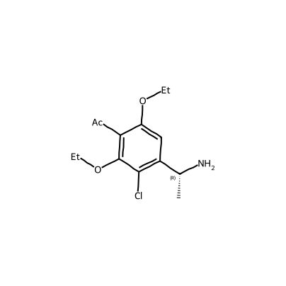 CCOc1cc([C@@H](C)N)c(Cl)c(OCC)c1C(C)=O